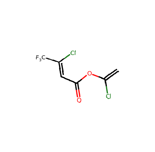 C=C(Cl)OC(=O)C=C(Cl)C(F)(F)F